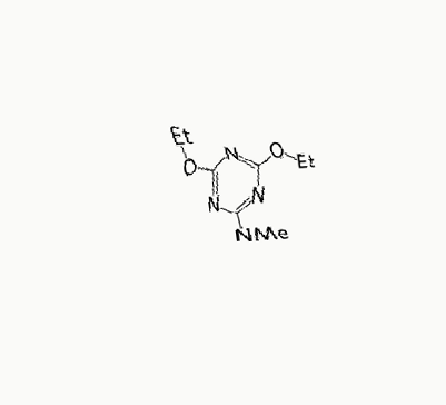 CCOc1nc(NC)nc(OCC)n1